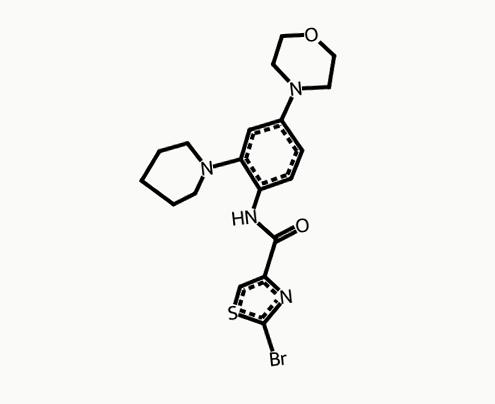 O=C(Nc1ccc(N2CCOCC2)cc1N1CCCCC1)c1csc(Br)n1